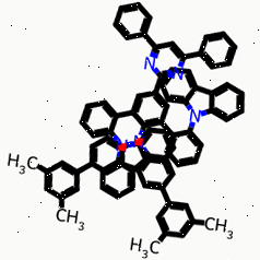 Cc1cc(C)cc(-c2ccc3c(c2)c2cc(-c4cc(C)cc(C)c4)ccc2n3-c2c(-c3ccccc3-n3c4ccccc4c4ccccc43)cc(-c3nc(-c4ccccc4)cc(-c4ccccc4)n3)cc2-c2ccccc2-n2c3ccccc3c3ccccc32)c1